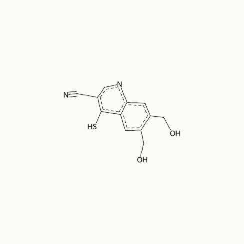 N#Cc1cnc2cc(CO)c(CO)cc2c1S